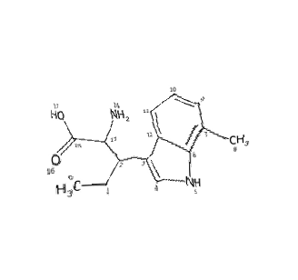 CCC(c1c[nH]c2c(C)cccc12)C(N)C(=O)O